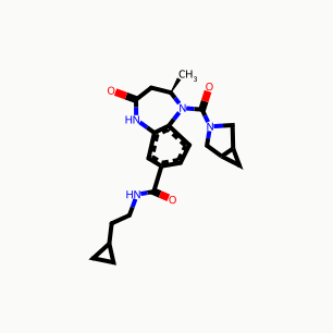 C[C@@H]1CC(=O)Nc2cc(C(=O)NCCC3CC3)ccc2N1C(=O)N1CC2CC2C1